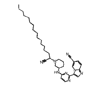 CCCCCCCCCCCCCCCC(C#N)N1CCC[C@@H](Nc2ccnc(-c3cnc4ccc(C#N)cn34)n2)C1